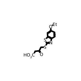 CCOc1ccc2nc(SCC(=O)CC(=O)O)sc2c1